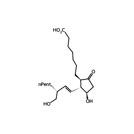 CCCCC[C@H](C=C[C@H]1[C@H](O)CC(=O)[C@@H]1CCCCCCC(=O)O)CO